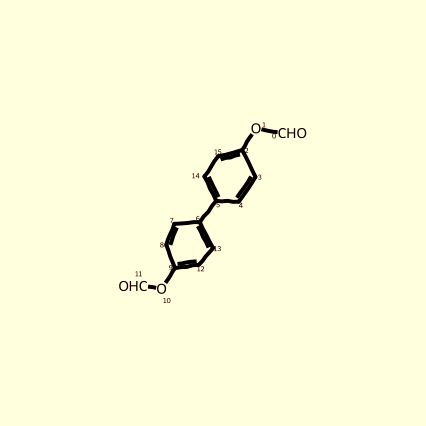 O=COc1ccc(-c2ccc(OC=O)cc2)cc1